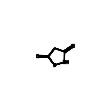 O=C1CC(=O)SN1